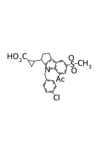 CC(=O)c1cc(S(C)(=O)=O)cc2c3c(n(Cc4ccc(Cl)cc4)c12)C(C1CC1C(=O)O)CC3